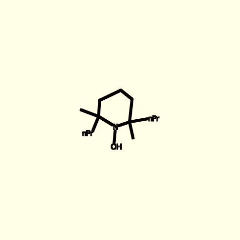 CCCC1(C)CCCC(C)(CCC)N1O